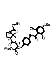 COC(=O)[C@H](Cc1ccc(NC(=O)c2c(Cl)cc(C(C)(C)C)cc2Cl)cc1)NC(=O)[C@H]1CC[C@@](C)(C(=O)OC(C)(C)C)C1(C)C